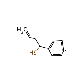 C=CCC(S)c1cc[c]cc1